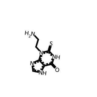 NCCn1c(=S)[nH]c(=O)c2[nH]cnc21